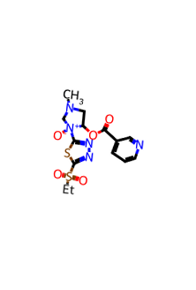 CCS(=O)(=O)c1nnc([N+]2([O-])CN(C)CC2OC(=O)c2cccnc2)s1